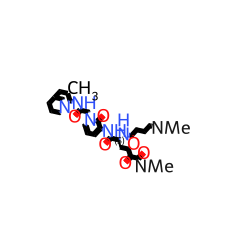 CNCCCC(=O)N[C@@H](CCC(=O)C(=O)NC)C(=O)Nc1cccn(CC(=O)NC2C(C)CC3CCCN2C3)c1=O